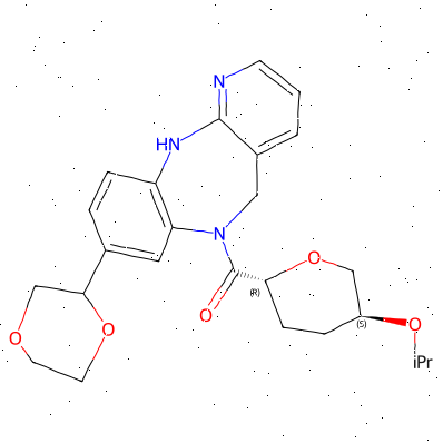 CC(C)O[C@H]1CC[C@H](C(=O)N2Cc3cccnc3Nc3ccc(C4COCCO4)cc32)OC1